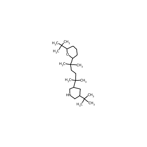 CC(C)(C)C1CNCC(C(C)(C)CCC(C)(C)C2CCCC(C(C)(C)C)O2)C1